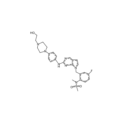 CN(c1ccc(F)cc1Cn1ccc2cnc(Nc3ccc(N4CCN(CCO)CC4)cc3)nc21)S(C)(=O)=O